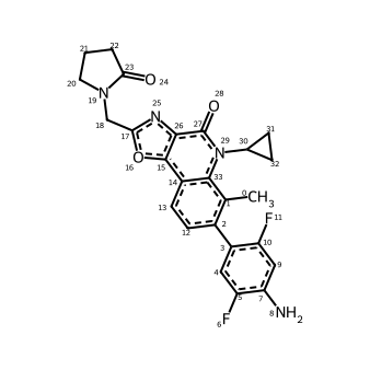 Cc1c(-c2cc(F)c(N)cc2F)ccc2c3oc(CN4CCCC4=O)nc3c(=O)n(C3CC3)c12